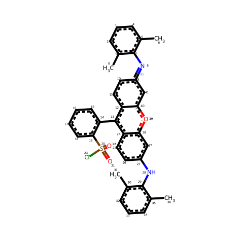 Cc1cccc(C)c1/N=c1\ccc2c(-c3ccccc3S(=O)(=O)Cl)c3ccc(Nc4c(C)cccc4C)cc3oc-2c1